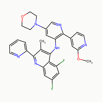 COc1cc(-c2ncc(N3CCOCC3)cc2Nc2c(C)c(-c3ccccn3)nc3cc(F)cc(F)c23)ccn1